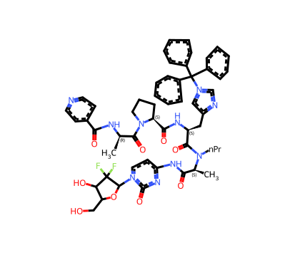 CCCN(C(=O)[C@H](Cc1cn(C(c2ccccc2)(c2ccccc2)c2ccccc2)cn1)NC(=O)[C@@H]1CCCN1C(=O)[C@@H](C)NC(=O)c1ccncc1)[C@@H](C)C(=O)Nc1ccn(C2OC(CO)C(O)C2(F)F)c(=O)n1